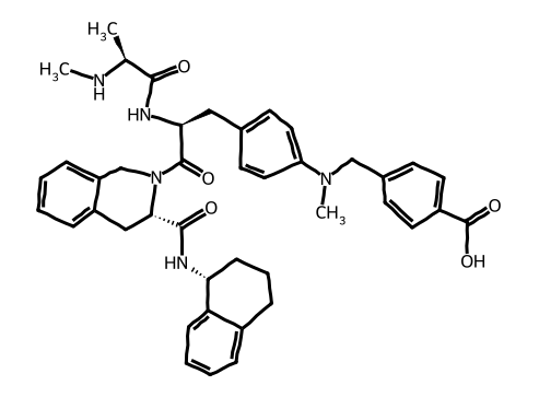 CN[C@@H](C)C(=O)N[C@@H](Cc1ccc(N(C)Cc2ccc(C(=O)O)cc2)cc1)C(=O)N1Cc2ccccc2C[C@H]1C(=O)N[C@@H]1CCCc2ccccc21